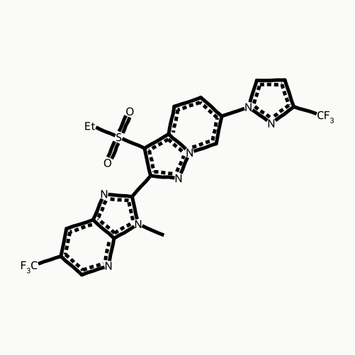 CCS(=O)(=O)c1c(-c2nc3cc(C(F)(F)F)cnc3n2C)nn2cc(-n3ccc(C(F)(F)F)n3)ccc12